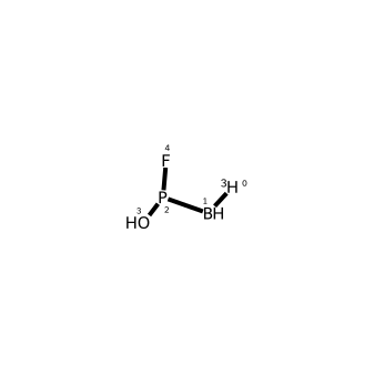 [3H]BP(O)F